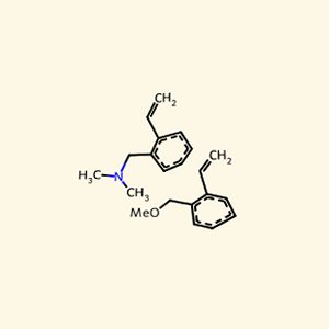 C=Cc1ccccc1CN(C)C.C=Cc1ccccc1COC